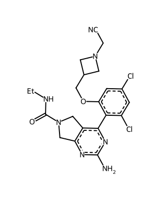 CCNC(=O)N1Cc2nc(N)nc(-c3c(Cl)cc(Cl)cc3OCC3CN(CC#N)C3)c2C1